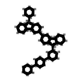 c1ccc(-c2ccc(-c3ccnc(-n4c5ccccc5c5cc(-c6ccc7c(c6)c6ccccc6n7-c6ccccc6)ccc54)c3)cc2)cc1